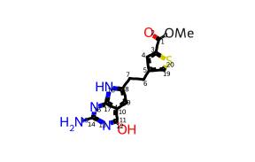 COC(=O)c1cc(CCc2cc3c(O)nc(N)nc3[nH]2)cs1